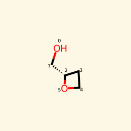 OC[C@@H]1CCO1